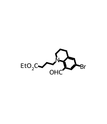 CCOC(=O)CCCN1CCCc2cc(Br)cc(C=O)c21